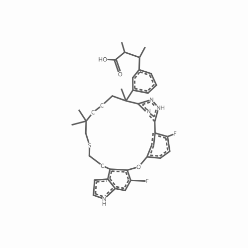 CC(C(=O)O)C(C)c1cccc(C2(C)CCCC(C)(C)CSCCc3c(c(F)cc4[nH]ccc34)Oc3ccc(F)c(c3)-c3nc2n[nH]3)c1